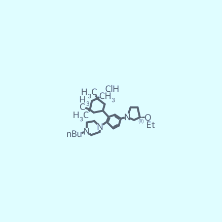 CCCCN1CCN(c2ccc(N3CC[C@@H](OCC)C3)cc2C2CC(C)(C)CC(C)(C)C2)CC1.Cl